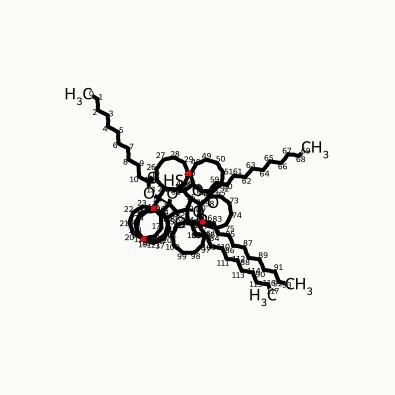 CCCCCCCCCCCC(=O)OC(C1CCCCCCCC1)(C1CCCCCCCC1)[C@@]1(C2CCCCCCCC2)O[C@](S)(C2CCCCCCCC2)[C@@](OC(=O)CCCCCCCCCCC)(C2CCCCCCCC2)[C@](OC(=O)CCCCCCCCCCC)(C2CCCCCCCC2)[C@]1(OC(=O)CCCCCCCCCCC)C1CCCCCCCC1